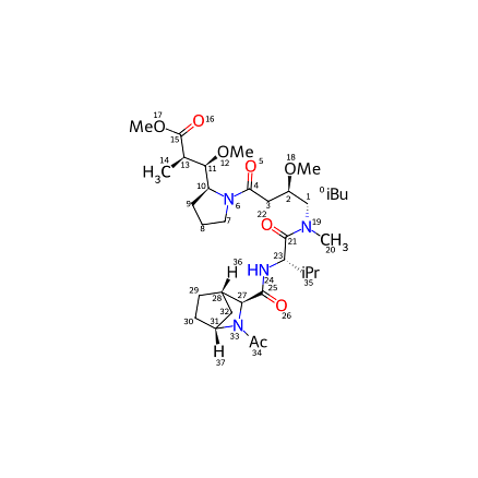 CC[C@H](C)[C@@H]([C@@H](CC(=O)N1CCC[C@H]1[C@H](OC)[C@@H](C)C(=O)OC)OC)N(C)C(=O)[C@@H](NC(=O)[C@@H]1[C@H]2CC[C@H](C2)N1C(C)=O)C(C)C